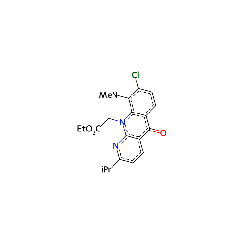 CCOC(=O)Cn1c2nc(C(C)C)ccc2c(=O)c2ccc(Cl)c(NC)c21